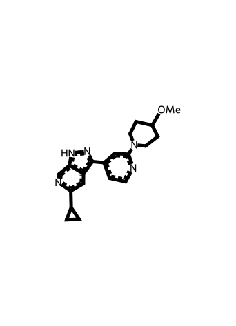 COC1CCN(c2cc(-c3n[nH]c4cnc(C5CC5)cc34)ccn2)CC1